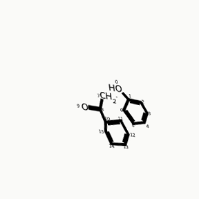 Oc1ccccc1.[CH2]C(=O)c1ccccc1